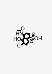 CC(=O)Nc1ccc(S(=O)(=O)O)c2ccc(Cl)c(O)c12